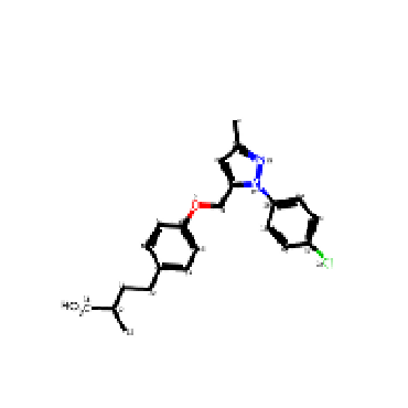 Cc1cc(COc2ccc(CCC(C)C(=O)O)cc2)n(-c2ccc(Cl)cc2)n1